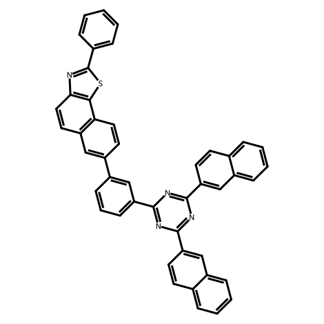 c1ccc(-c2nc3ccc4cc(-c5cccc(-c6nc(-c7ccc8ccccc8c7)nc(-c7ccc8ccccc8c7)n6)c5)ccc4c3s2)cc1